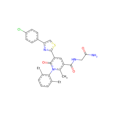 CCc1cccc(CC)c1-n1c(C)c(C(=O)NCC(N)=O)cc(-c2nc(-c3ccc(Cl)cc3)cs2)c1=O